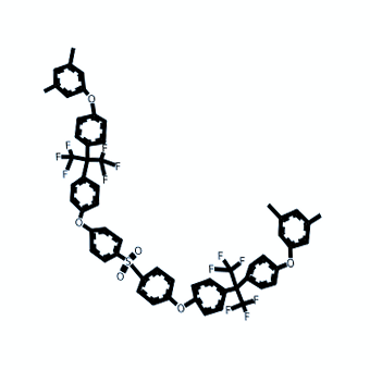 Cc1cc(C)cc(Oc2ccc(C(c3ccc(Oc4ccc(S(=O)(=O)c5ccc(Oc6ccc(C(c7ccc(Oc8cc(C)cc(C)c8)cc7)(C(F)(F)F)C(F)(F)F)cc6)cc5)cc4)cc3)(C(F)(F)F)C(F)(F)F)cc2)c1